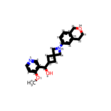 COc1ccncc1C(O)C1CC2(C1)CN(c1ccc3c(c1)CCOC3)C2